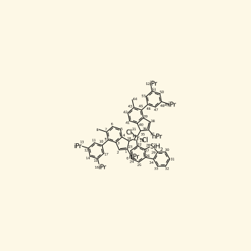 CCCC1=Cc2c(ccc(C)c2-c2cc(C(C)C)cc(C(C)C)c2)[CH]1[Zr]([Cl])([Cl])([c]1cccc2c1[SiH2]c1ccccc1-2)[CH]1C(CCC)=Cc2c1ccc(C)c2-c1cc(C(C)C)cc(C(C)C)c1